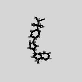 CN(C)S(=O)(=O)c1ccc(-n2cc(-c3n[nH]c4ccccc34)nn2)cc1